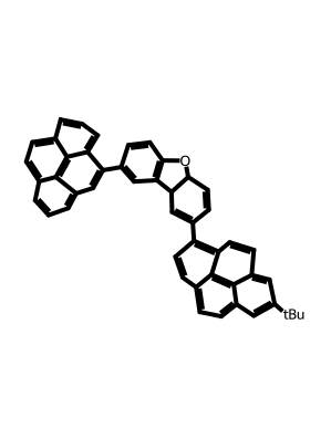 CC(C)(C)c1cc2ccc3ccc(C4=CC5c6cc(-c7cc8cccc9ccc%10cccc7c%10c98)ccc6OC5C=C4)c4ccc(c1)c2c34